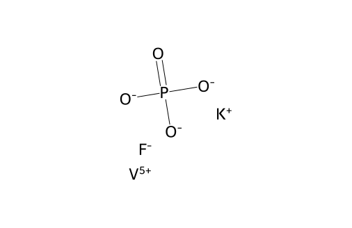 O=P([O-])([O-])[O-].[F-].[K+].[V+5]